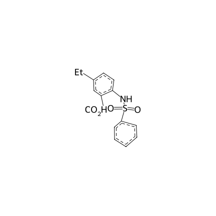 CCc1ccc(NS(=O)(=O)c2ccccc2)c(C(=O)O)c1